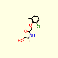 Cc1cccc(Cl)c1OCC(=O)N[C@H](C)CO